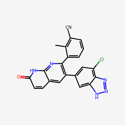 Cc1c(C#N)cccc1-c1nc2[nH]c(=O)ccc2cc1-c1cc(Cl)c2nn[nH]c2c1